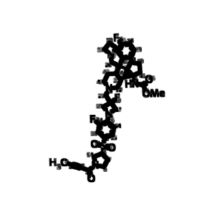 CC#CC(=O)N1CC[C@@H](S(=O)(=O)c2ccc(N3CC(F)(CN4CCC(C(CN5CCC5)(c5cccc(F)c5)[C@@]56CCC[C@]5(NC(=O)OC)C6)CC4)C3)c(F)c2)C1